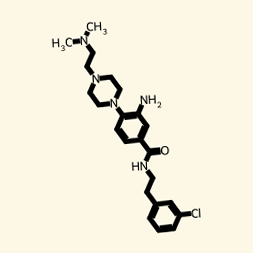 CN(C)CCN1CCN(c2ccc(C(=O)NCCc3cccc(Cl)c3)cc2N)CC1